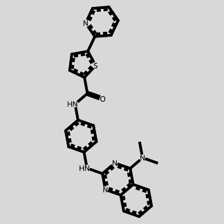 CN(C)c1nc(Nc2ccc(NC(=O)c3ccc(-c4ccccn4)s3)cc2)nc2ccccc12